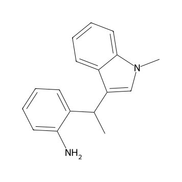 CC(c1ccccc1N)c1cn(C)c2ccccc12